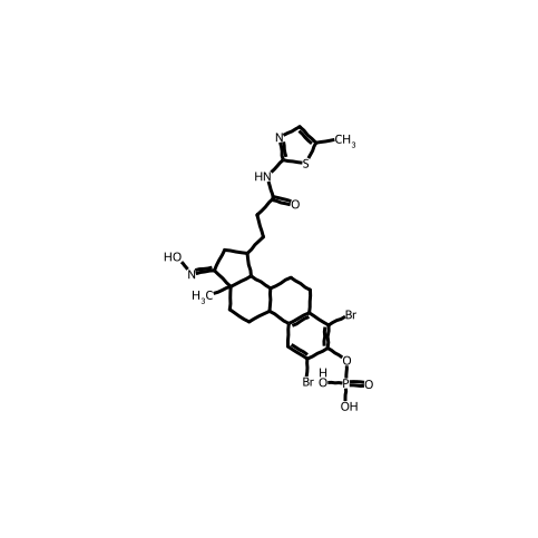 Cc1cnc(NC(=O)CCC2CC(=NO)C3(C)CCC4c5cc(Br)c(OP(=O)(O)O)c(Br)c5CCC4C23)s1